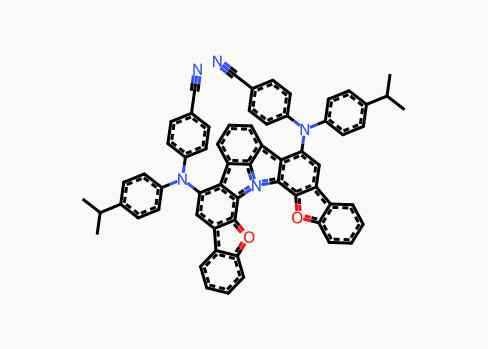 CC(C)c1ccc(N(c2ccc(C#N)cc2)c2cc3c4ccccc4oc3c3c2c2cccc4c5c(N(c6ccc(C#N)cc6)c6ccc(C(C)C)cc6)cc6c7ccccc7oc6c5n3c24)cc1